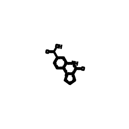 O=C(O)c1ccc2c(c1)[nH]c(=O)c1cccn12